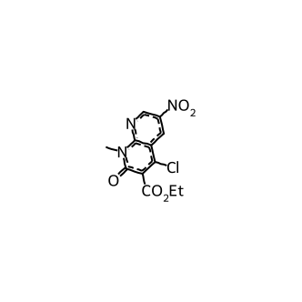 CCOC(=O)c1c(Cl)c2cc([N+](=O)[O-])cnc2n(C)c1=O